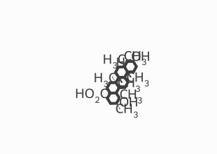 C[C@@H]1CC[C@]2(C(=O)O)CC[C@]3(C)C(=CCC4[C@@]5(C)CC[C@H](O)C(C)(C)[C@@H]5CC[C@]43C)C2[C@]1(C)O